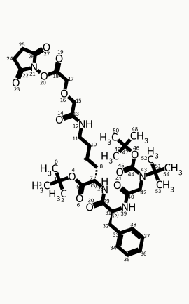 CC(C)(C)OC(=O)[C@H](CCCCNC(=O)COCC(=O)ON1C(=O)CCC1=O)NC(=O)[C@H](Cc1ccccc1)NC(=O)CN(C(=O)OC(C)(C)C)C(C)(C)C